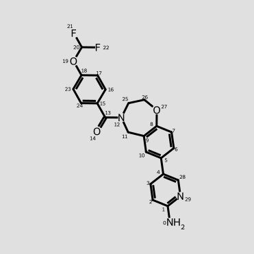 Nc1ccc(-c2ccc3c(c2)CN(C(=O)c2ccc(OC(F)F)cc2)CCO3)cn1